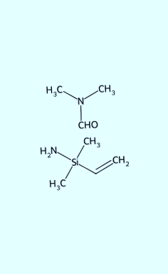 C=C[Si](C)(C)N.CN(C)C=O